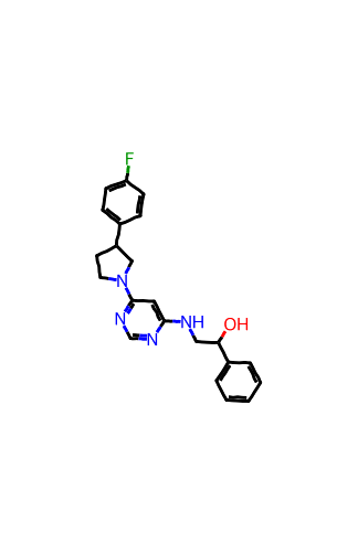 OC(CNc1cc(N2CCC(c3ccc(F)cc3)C2)ncn1)c1ccccc1